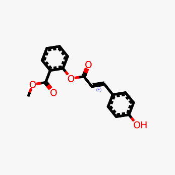 COC(=O)c1ccccc1OC(=O)/C=C/c1ccc(O)cc1